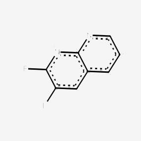 Fc1cc2cccnc2nc1F